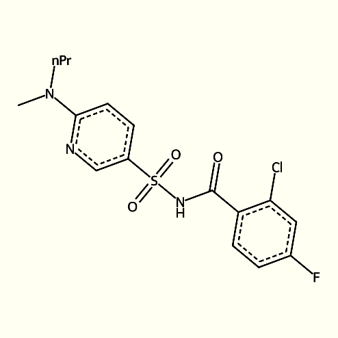 CCCN(C)c1ccc(S(=O)(=O)NC(=O)c2ccc(F)cc2Cl)cn1